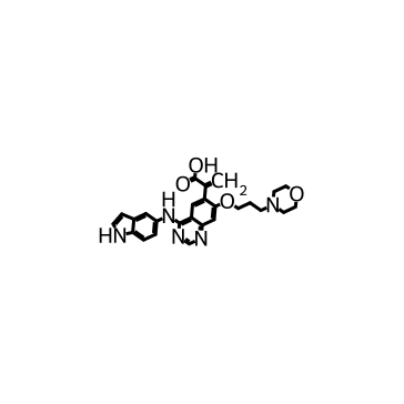 C=C(C(=O)O)c1cc2c(Nc3ccc4[nH]ccc4c3)ncnc2cc1OCCCN1CCOCC1